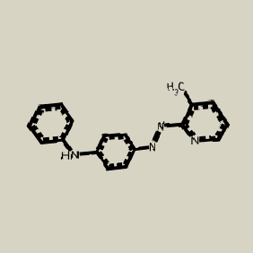 Cc1cccnc1/N=N/c1ccc(Nc2ccccc2)cc1